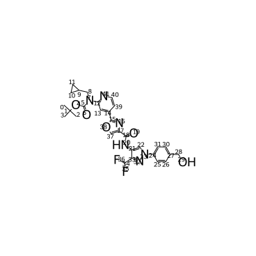 CC(C)(C)OC(=O)N(CC1CC1)c1cc(-c2nc(C(=O)Nc3cn(-c4ccc(CO)cc4)nc3C(F)F)co2)ccn1